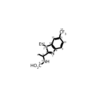 CCn1c(C(C)NC(=O)O)nc2ccc(C(F)(F)F)cc21